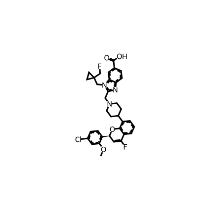 COc1cc(Cl)ccc1[C@@H]1C=C(F)c2cccc(C3CCN(Cc4nc5ccc(C(=O)O)cc5n4CC4(CF)CC4)CC3)c2O1